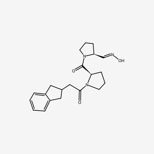 O=C([C@H]1CCCN1C(=O)CC1Cc2ccccc2C1)N1CCC[C@H]1C=NO